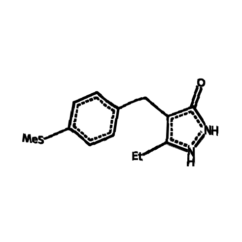 CCc1[nH][nH]c(=O)c1Cc1ccc(SC)cc1